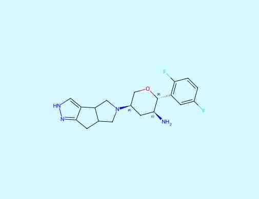 N[C@H]1C[C@@H](N2CC3Cc4n[nH]cc4C3C2)CO[C@@H]1c1cc(F)ccc1F